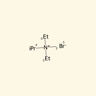 CC[N+](C)(CC)C(C)C.[Br-]